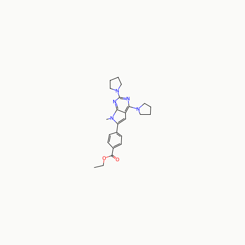 CCOC(=O)c1ccc(-c2cc3c(N4CCCC4)nc(N4CCCC4)nc3n2C)cc1